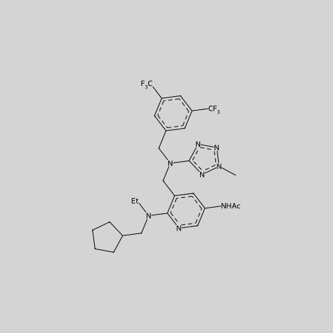 CCN(CC1CCCC1)c1ncc(NC(C)=O)cc1CN(Cc1cc(C(F)(F)F)cc(C(F)(F)F)c1)c1nnn(C)n1